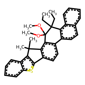 CCC1(CC)c2c(ccc3ccccc23)-c2ccc3c(c2C1(OC)OC)C(C)(C)c1c-3sc2ccccc12